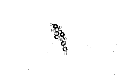 O=C(Nc1ccc(N2CCNCC2)cn1)c1ccc(CN2C(=O)c3ccc(Cl)cc3NC(=O)C2Cc2ccccn2)cc1